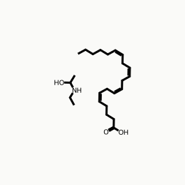 CCCCC/C=C\C/C=C\C/C=C\C/C=C\CCCC(=O)O.CCNC(C)O